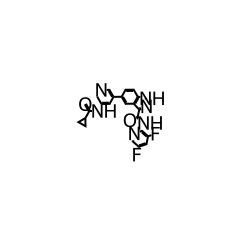 O=C(Nc1ncc(F)cc1F)c1n[nH]c2ccc(-c3cncc(NC(=O)C4CC4)c3)cc12